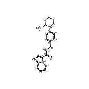 CC1CCCCN1c1ccc(CNC(=O)c2cnc3ccccn23)cc1